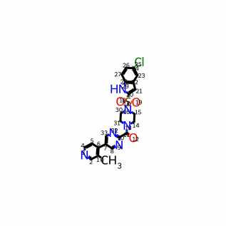 Cc1cnccc1-c1cnc(C(=O)N2CCN(S(=O)(=O)c3cc4cc(Cl)ccc4[nH]3)CC2)nc1